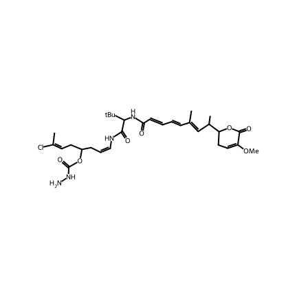 COC1=CCC(C(C)/C=C(C)/C=C/C=C/C(=O)NC(C(=O)N/C=C\CC(C/C=C(\C)Cl)OC(=O)NN)C(C)(C)C)OC1=O